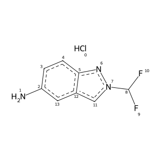 Cl.Nc1ccc2nn(C(F)F)cc2c1